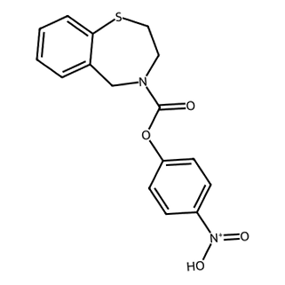 O=C(Oc1ccc([N+](=O)O)cc1)N1CCSc2ccccc2C1